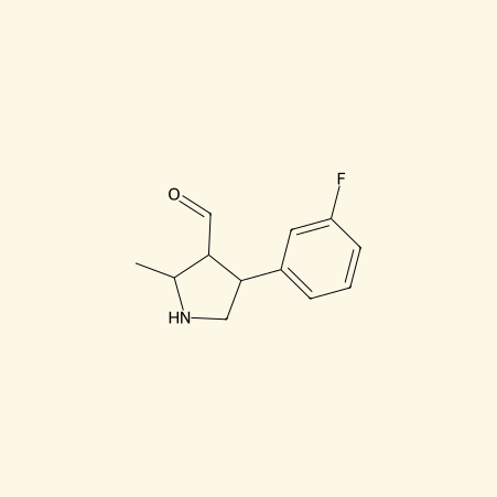 CC1NCC(c2cccc(F)c2)C1C=O